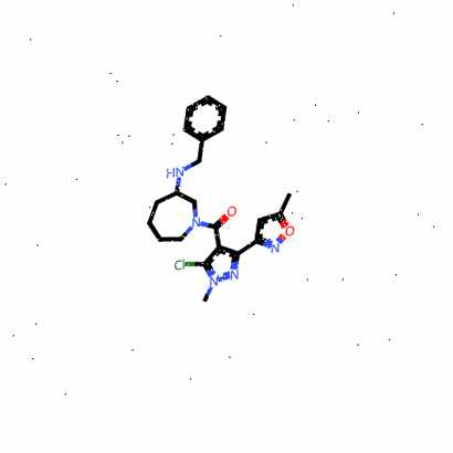 Cc1cc(-c2nn(C)c(Cl)c2C(=O)N2CCCCC(NCc3ccccc3)C2)no1